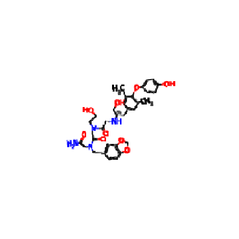 Cc1cc(C[C@@H](CO)NCC(=O)N(CCO)CC(=O)N(CC(N)=O)Cc2ccc3c(c2)OCO3)cc(C)c1Oc1ccc(O)cc1